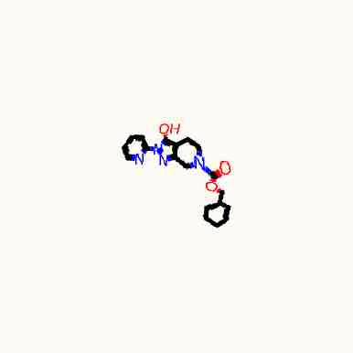 O=C(OCC1=CCCC=C1)N1CCc2c(nn(-c3ccccn3)c2O)C1